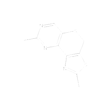 Cc1ncc2c(n1)-c1nc(C)sc1CS2